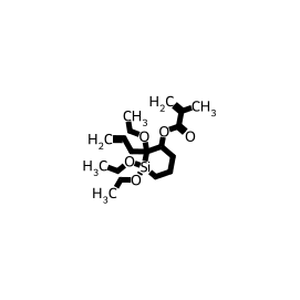 C=CCC1(OCC)C(OC(=O)C(=C)C)CCC[Si]1(OCC)OCC